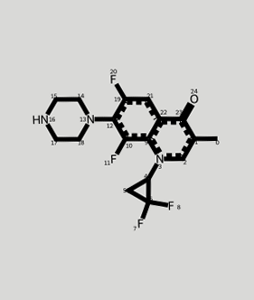 Cc1cn(C2CC2(F)F)c2c(F)c(N3CCNCC3)c(F)cc2c1=O